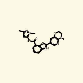 Cc1cc(NC(=O)c2cccc3[nH]c(-c4cnc5c(c4)OCCN5C)nc23)n(C)n1